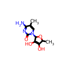 Cc1cn(C2OC(C)C(O)=C2O)c(=O)nc1N